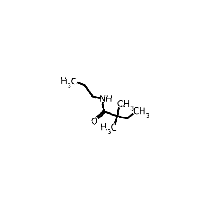 CCCNC(=O)C(C)(C)CC